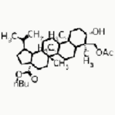 C=C(C)[C@@H]1CC[C@]2(C(=O)OCCCC)CC[C@]3(C)C(CCC4[C@@]5(C)CC[C@H](O)[C@@](C)(COC(C)=O)C5CC[C@]43C)C12